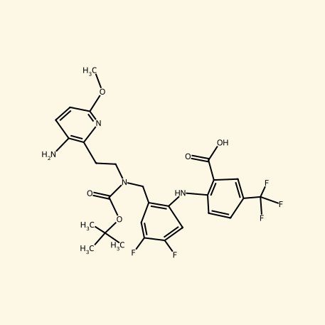 COc1ccc(N)c(CCN(Cc2cc(F)c(F)cc2Nc2ccc(C(F)(F)F)cc2C(=O)O)C(=O)OC(C)(C)C)n1